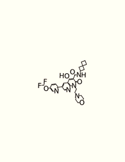 O=C(NC1CC2(CCC2)C1)c1c(O)c2cc(-c3ccc(OC(F)F)cn3)cnc2n(CCN2CCOCC2)c1=O